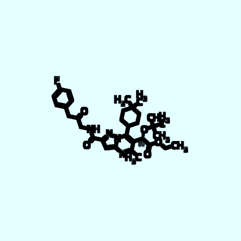 CCOC(=O)[C@@H](OC(C)(C)C)c1c(C)nc2cc(C(=O)NCC(=O)Cc3ccc(F)cc3)nn2c1C1CCC(C)(C)CC1